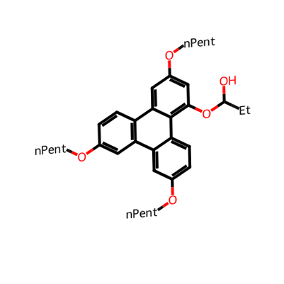 CCCCCOc1ccc2c(c1)c1cc(OCCCCC)ccc1c1c(OC(O)CC)cc(OCCCCC)cc21